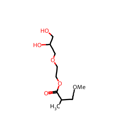 COCC(C)C(=O)OCCOCC(O)CO